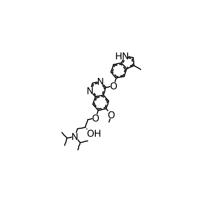 COc1cc2c(Oc3ccc4[nH]cc(C)c4c3)ncnc2cc1OC[C@H](O)CN(C(C)C)C(C)C